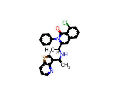 C=C(N[C@@H](C)c1cc2cccc(Cl)c2c(=O)n1-c1ccccc1)c1csc2cccnc12